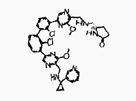 COc1nc(-c2cccc(-c3cccc(-c4cnc(CNC5(c6cccnc6)CC5)c(OC)n4)c3Cl)c2Cl)cnc1CNC[C@@H]1CCC(=O)N1